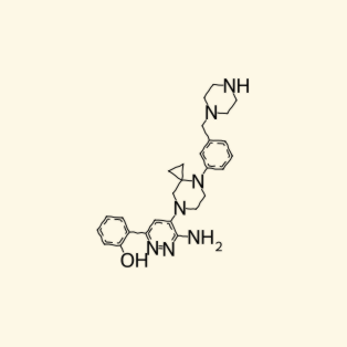 Nc1nnc(-c2ccccc2O)cc1N1CCN(c2cccc(CN3CCNCC3)c2)C2(CC2)C1